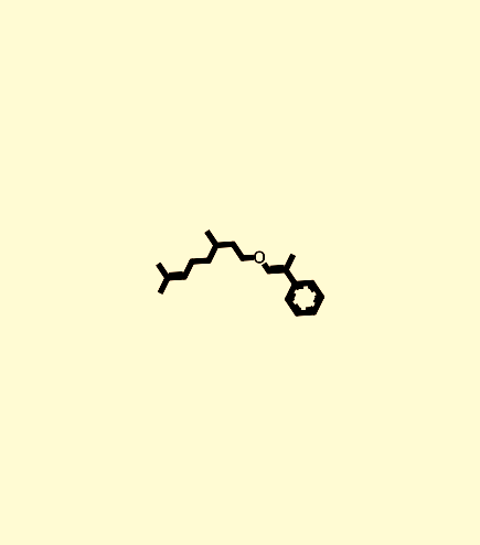 CC(C)=CCCC(C)CCOC=C(C)c1ccccc1